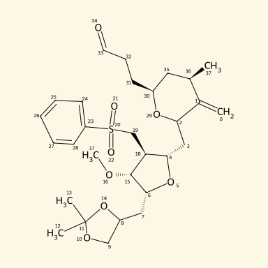 C=C1C(C[C@@H]2O[C@H](CC3COC(C)(C)O3)[C@H](OC)[C@H]2CS(=O)(=O)c2ccccc2)O[C@@H](CCC=O)C[C@H]1C